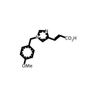 COc1ccc(Cn2cnc(/C=C/C(=O)O)c2)cc1